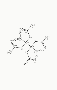 O=C(O)CC(CC(=O)O)([N+](=O)[O-])C(CC(=O)O)(CC(=O)O)[N+](=O)[O-]